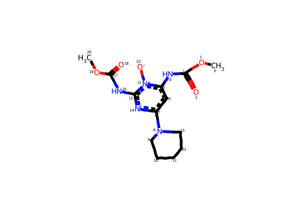 COC(=O)Nc1cc(N2CCCCC2)nc(NC(=O)OC)[n+]1[O-]